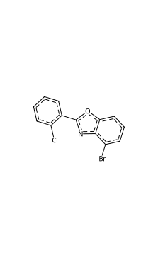 Clc1ccccc1-c1nc2c(Br)cccc2o1